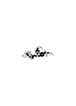 CCNC(=O)c1ccc(CN(CCc2csc(SC(C)(C)C(=O)O)n2)c2ncc(CC)cn2)cc1